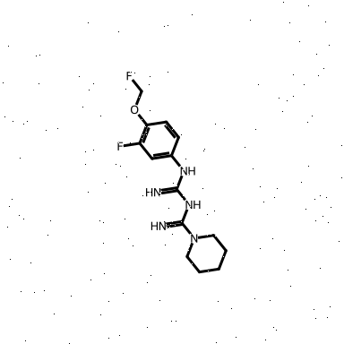 N=C(NC(=N)N1CCCCC1)Nc1ccc(OCF)c(F)c1